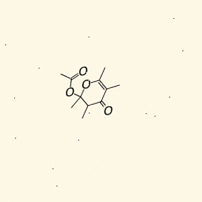 CC(=O)OC1(C)OC(C)=C(C)C(=O)C1C